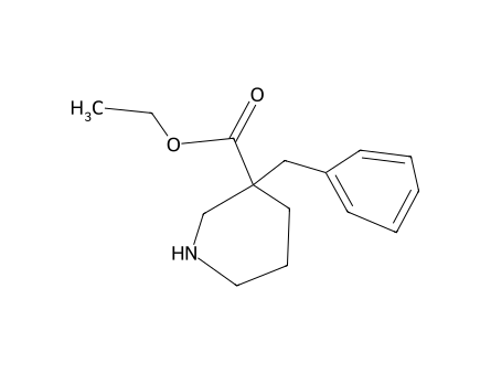 CCOC(=O)C1(Cc2ccccc2)CCCNC1